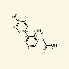 Nc1c(CC(=O)O)cccc1-c1ccc(Br)cc1